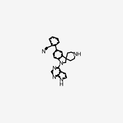 N#Cc1ccccc1-c1ccc2c(c1)C1(CCNCC1)CN2c1ncnc2[nH]ccc12